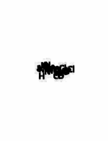 CC(C)Nc1ncnc2c1nnn2Cc1cc(Cl)c(C(=O)c2ccc(Cl)cc2)c(Cl)c1